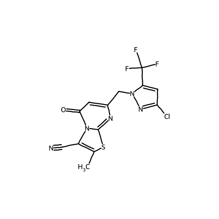 Cc1sc2nc(Cn3nc(Cl)cc3C(F)(F)F)cc(=O)n2c1C#N